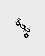 N#Cc1cc(N2CCC3(CC2)O[C@@H]2CC[C@@H](c4ccccc4)N2C3=O)ccn1